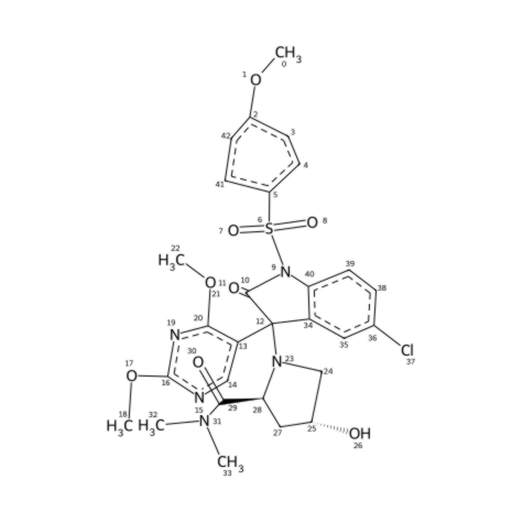 COc1ccc(S(=O)(=O)N2C(=O)C(c3cnc(OC)nc3OC)(N3C[C@H](O)C[C@H]3C(=O)N(C)C)c3cc(Cl)ccc32)cc1